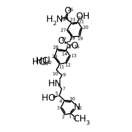 Cc1ccc([C@@H](O)CNCCc2ccc(S(=O)(=O)c3ccc(O)c(C(N)=O)c3)cc2)cn1.Cl.Cl